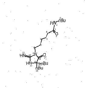 CCCCNC(=O)CCCCCN1C(=N)NC(CCCC)(CCCC)C1=O